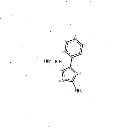 Br.Br.Nc1nc(-c2ccncc2)cs1